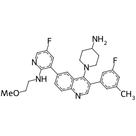 COCCNc1ncc(F)cc1-c1ccc2ncc(-c3cc(C)cc(F)c3)c(N3CCC(N)CC3)c2c1